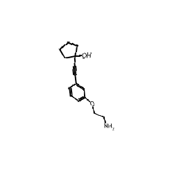 NCCOc1cccc(C#CC2(O)CCCC2)c1